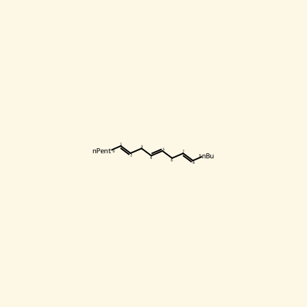 [CH2]CCCCC=CCC=CCC=CCCCC